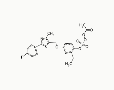 CCc1cc(OCc2sc(-c3ccc(F)cc3)nc2C)ccc1OS(=O)(=O)OOC(C)=O